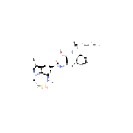 CCc1cn2c3c(cc(C(=O)N[C@@H](Cc4ccccc4)[C@@H](CNC(C)(C)CCCC(C)C)OC=O)cc13)N(C)S(=O)(=O)C(C)C2